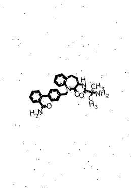 CC(C)(N)C(=O)NC1CCc2ccccc2N(Cc2ccc(-c3ccccc3C(N)=O)cc2)C1=O